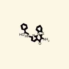 Nc1c(=O)c2ccc(NCC(O)c3ccccc3)nc2n2c1sc1ccccc12